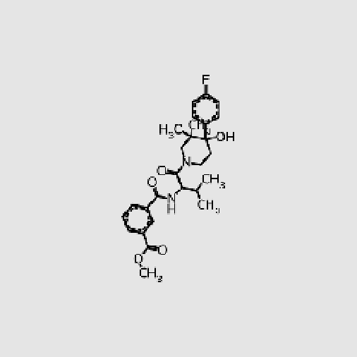 COC(=O)c1cccc(C(=O)N[C@@H](C(=O)N2CCC(O)(c3ccc(F)cc3)C(C)(C)C2)C(C)C)c1